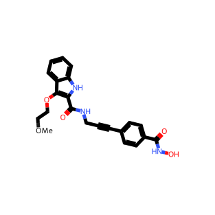 COCCOc1c(C(=O)NCC#Cc2ccc(C(=O)NO)cc2)[nH]c2ccccc12